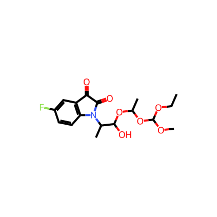 CCOC(OC)OC(C)OC(O)C(C)N1C(=O)C(=O)c2cc(F)ccc21